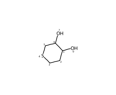 OC1CCSCC1O